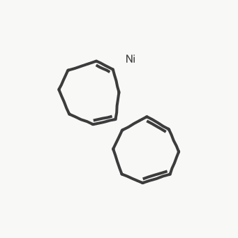 C1=C\CCC/C=C\C/1.C1=C\CCC/C=C\C/1.[Ni]